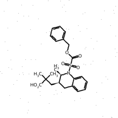 C[C@@H]1[C@H](CC(C)(C)C(=O)O)Cc2ccccc2N1S(=O)(=O)C(=O)OCc1ccccc1